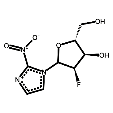 O=[N+]([O-])c1nccn1C1O[C@H](CO)[C@@H](O)[C@H]1F